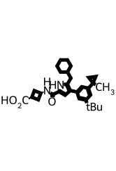 CC(C)(C)c1cc(-c2cc(C(=O)N[C@H]3C[C@H](C(=O)O)C3)[nH]c2CC2CCCCC2)cc(C2(C)CC2)c1